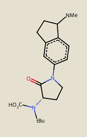 CNC1CCc2cc(N3CC[C@H](N(C(=O)O)C(C)(C)C)C3=O)ccc21